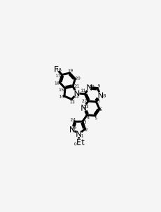 CCn1cc(-c2ccc3ncnc(N4CCc5cc(F)ccc54)c3n2)cn1